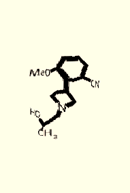 COc1cccc(C#N)c1C1CN(C[C@H](C)O)C1